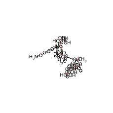 COc1cc2c(cc1OCCCCCOc1cc3c(cc1OC)C(=O)N1CC4(CC4)C[C@H]1[C@H](O)N3C(=O)OCc1ccc(O[C@@H]3O[C@H](C(=O)O)[C@@H](O)[C@H](O)[C@H]3O)c(NC(=O)CCOCCOCCOCCOCCN)c1)N(C(=O)OCc1ccc(O[C@@H]3O[C@H](C(=O)O)[C@@H](O)[C@H](O)[C@H]3O)cc1)[C@@H](O)[C@@H]1Cc3ccccc3CN1C2=O